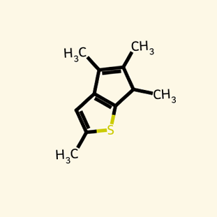 CC1=C(C)C(C)c2sc(C)cc21